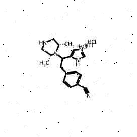 C[C@@H]1CNC[C@H](C)N1C(Cc1ccc(C#N)cc1)c1cnc[nH]1.Cl.Cl.Cl